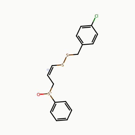 [O-][S+](C/C=C\SSCc1ccc(Cl)cc1)c1ccccc1